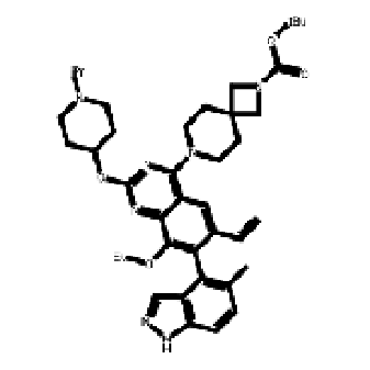 C=Cc1cc2c(N3CCC4(CC3)CN(C(=O)OC(C)(C)C)C4)nc(OC3CCN(C(C)C)CC3)nc2c(OCC)c1-c1c(C)ccc2[nH]ncc12